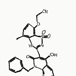 Cc1ccc(OCC#N)c2c1NC(c1c(O)c3cccnc3n(Cc3ccccc3)c1=O)=NS2(=O)=O